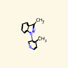 Cc1ccncc1-n1nc(C)c2ccccc21